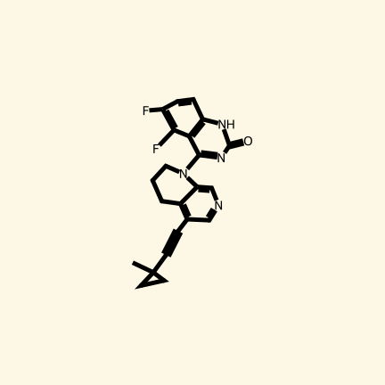 CC1(C#Cc2cncc3c2CCCN3c2nc(=O)[nH]c3ccc(F)c(F)c23)CC1